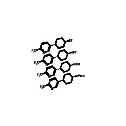 CCCCC[C@H]1CC[C@H](c2ccc(C(F)(F)F)nc2)CC1.CCCC[C@H]1CC[C@H](c2ccc(C(F)(F)F)nc2)CC1.CCC[C@H]1CC[C@H](c2ccc(C(F)(F)F)nc2)CC1.CC[C@H]1CC[C@H](c2ccc(C(F)(F)F)nc2)CC1